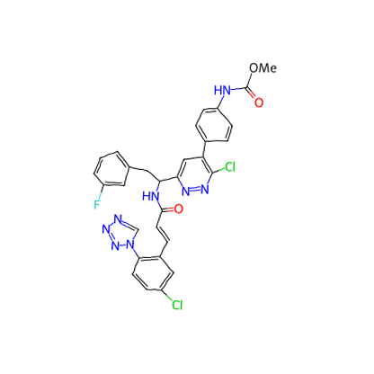 COC(=O)Nc1ccc(-c2cc(C(Cc3cccc(F)c3)NC(=O)C=Cc3cc(Cl)ccc3-n3cnnn3)nnc2Cl)cc1